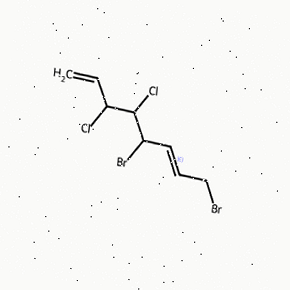 C=CC(Cl)C(Cl)C(Br)/C=C/CBr